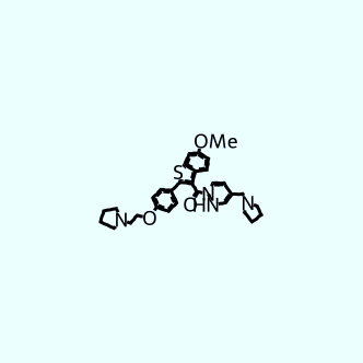 COc1ccc2c(C(=O)N3C=CC(CN4CCCC4)=CN3)c(-c3ccc(OCCN4CCCC4)cc3)sc2c1